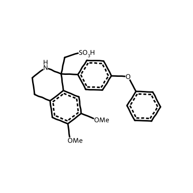 COc1cc2c(cc1OC)C(CS(=O)(=O)O)(c1ccc(Oc3ccccc3)cc1)NCC2